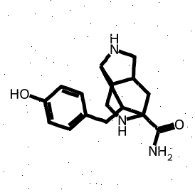 NC(=O)C12CC3CNC(C3CN1)C2Cc1ccc(O)cc1